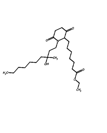 CCCCCCCC(C)(O)CCN1C(=O)CCC(=O)C1CCCCCCC(=O)OCC